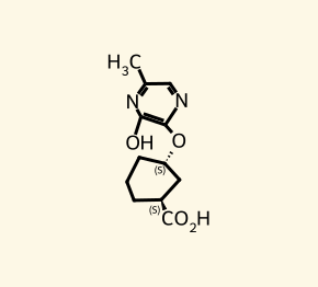 Cc1cnc(O[C@H]2CCC[C@H](C(=O)O)C2)c(O)n1